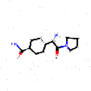 NC(=O)[C@H]1CC[C@H]([C@H](N)C(=O)N2CCCC2)CC1